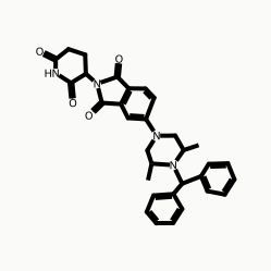 CC1CN(c2ccc3c(c2)C(=O)N(C2CCC(=O)NC2=O)C3=O)CC(C)N1C(c1ccccc1)c1ccccc1